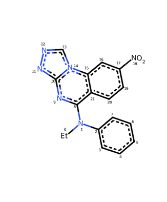 CCN(c1ccccc1)c1nc2nncn2c2cc([N+](=O)[O-])ccc12